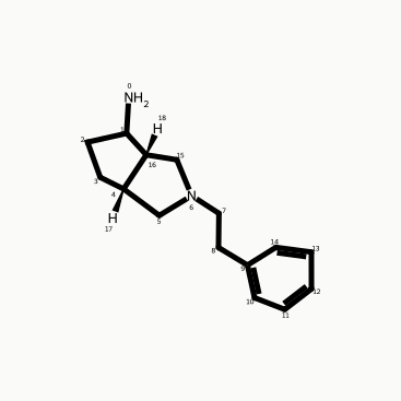 NC1CC[C@H]2CN(CCc3ccccc3)C[C@@H]12